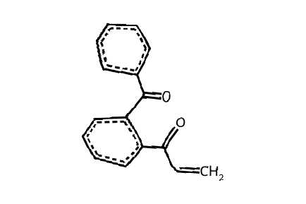 C=CC(=O)c1ccccc1C(=O)c1ccccc1